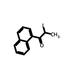 CC(I)C(=O)c1cccc2ccccc12